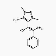 Cc1nn(C)c(N)c1/C(O)=C(\N)c1ccccc1